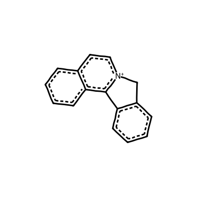 c1ccc2c(c1)C[n+]1ccc3ccccc3c1-2